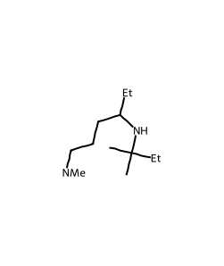 CCC(CCCNC)NC(C)(C)CC